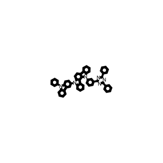 c1ccc(-c2nc(-c3ccccc3)nc(-c3cccc(-n4c5ccccc5c5ccc6c(c7ccccc7n6-c6ccc7c(c6)c6ccccc6n7-c6ccccc6)c54)c3)n2)cc1